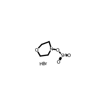 Br.O=[SH](=O)ON1CCOCC1